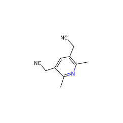 Cc1nc(C)c(CC#N)cc1CC#N